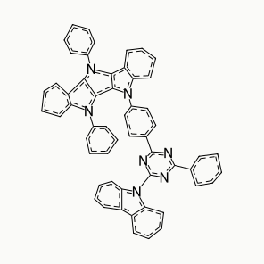 c1ccc(-c2nc(-c3ccc(-n4c5ccccc5c5c4c4c(c6ccccc6n4-c4ccccc4)n5-c4ccccc4)cc3)nc(-n3c4ccccc4c4ccccc43)n2)cc1